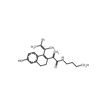 C=C(C(=O)NCCCC(=O)O)C1=C(/C(C)=C(\C)CC)c2ccc(O)cc2CC1